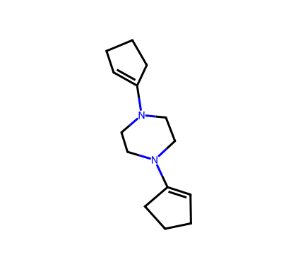 C1=C(N2CCN(C3=CCCC3)CC2)CCC1